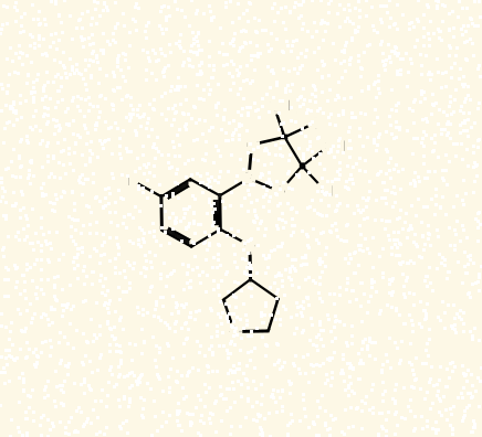 CC1(C)OB(c2cc(F)ccc2OC2CCOC2)OC1(C)C